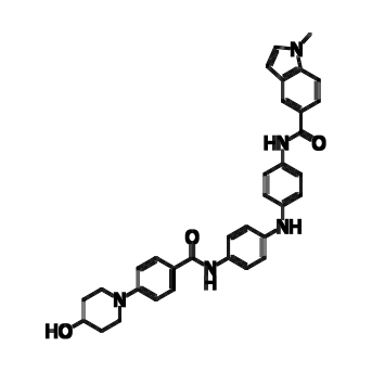 Cn1ccc2cc(C(=O)Nc3ccc(Nc4ccc(NC(=O)c5ccc(N6CCC(O)CC6)cc5)cc4)cc3)ccc21